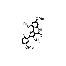 COc1ccc(C)c(-n2nc3c(c2N)c(=O)[nH]c2cc(OC)cc(OC(C)C)c23)c1